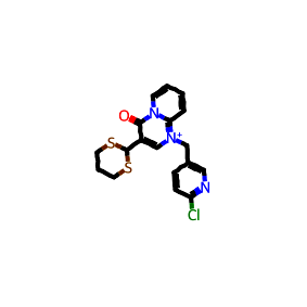 O=c1c(C2SCCCS2)c[n+](Cc2ccc(Cl)nc2)c2ccccn12